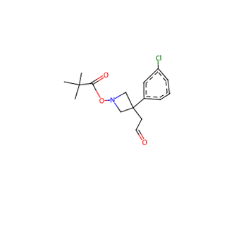 CC(C)(C)C(=O)ON1CC(CC=O)(c2cccc(Cl)c2)C1